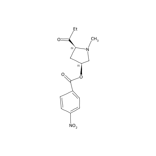 CCC(=O)[C@@H]1C[C@H](OC(=O)c2ccc([N+](=O)[O-])cc2)CN1C